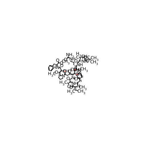 CC[C@H](C)[C@@H]([C@@H](CC(=O)N1CCC[C@H]1[C@H](OC)[C@@H](C)C(=O)N[C@@H](Cc1ccccc1)C(=O)OC)OC)N(C)C(=O)[C@@H](NC(=O)[C@H](C(C)C)N(C)CCc1ccc(N(C)C(=O)[C@H](CCCNC(N)=O)NC(=O)[C@@H](NC(=O)OC(C)(C)C)C(C)C)cc1)C(C)C